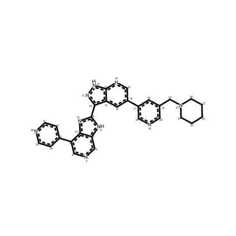 c1cc(-c2cncc3[nH]c(-c4n[nH]c5ncc(-c6cncc(CN7CCCCC7)c6)cc45)nc23)ccn1